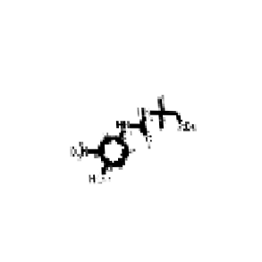 CC(C)(C)CC(C)(C)NC(=O)Nc1ccc(O)c([N+](=O)[O-])c1